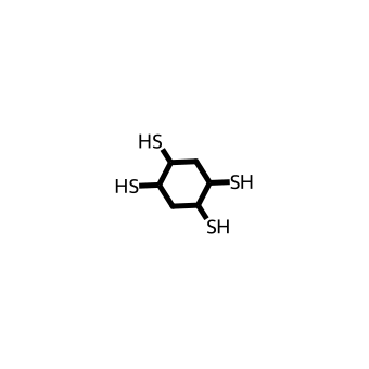 SC1CC(S)C(S)CC1S